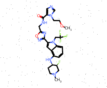 COCCn1cncc1C(=O)NCc1nc(-c2cc3c(N[C@@H]4CCN(C)C[C@@H]4F)cccc3n2CC(F)(F)F)no1